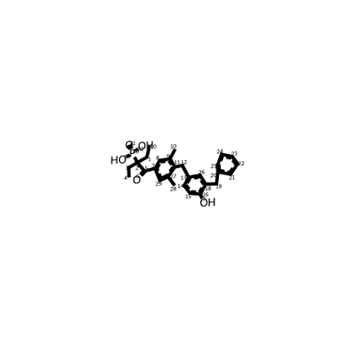 CCC(CC)(C(=O)c1cc(C)c(Cc2ccc(O)c(Cc3ccccc3)c2)c(C)c1)P(=O)(O)O